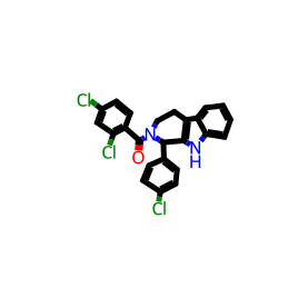 O=C(c1ccc(Cl)cc1Cl)N1CCc2c([nH]c3ccccc23)C1c1ccc(Cl)cc1